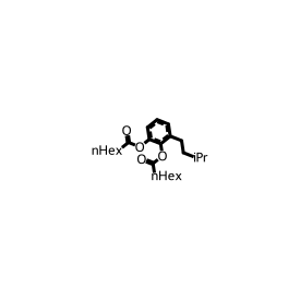 CCCCCCC(=O)Oc1cccc(CCC(C)C)c1OC(=O)CCCCCC